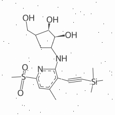 Cc1cc(S(C)(=O)=O)nc(NC2CC(CO)[C@@H](O)[C@H]2O)c1C#C[Si](C)(C)C